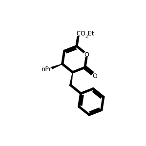 CCC[C@H]1C=C(C(=O)OCC)OC(=O)[C@H]1Cc1ccccc1